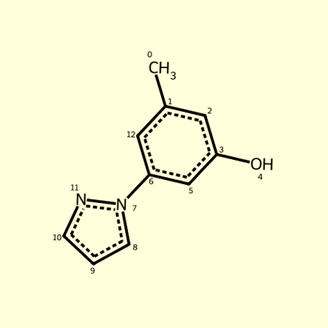 Cc1cc(O)cc(-n2cccn2)c1